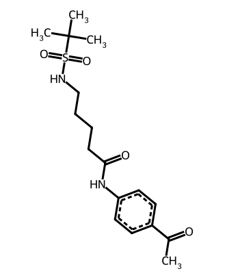 CC(=O)c1ccc(NC(=O)CCCCNS(=O)(=O)C(C)(C)C)cc1